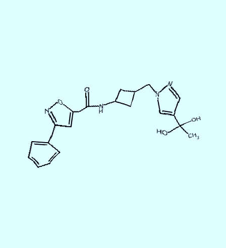 CC(O)(O)c1cnn(CC2CC(NC(=O)c3cc(-c4ccccc4)no3)C2)c1